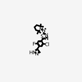 CN(c1nnc(-c2cc(F)c(-c3cn[nH]c3)cc2Cl)s1)N1C(C)(C)CCCC1(C)C